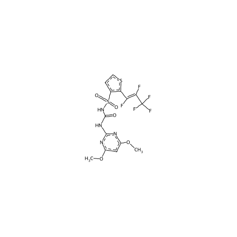 COc1cc(OC)nc(NC(=O)NS(=O)(=O)c2ccsc2C(F)=C(F)C(F)(F)F)n1